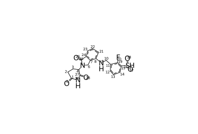 O=C1CCC(N2Cc3c(NCc4cccc([SH](=O)=O)c4F)cccc3C2=O)C(=O)N1